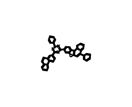 c1ccc(-c2nc(-c3ccc4c(ccc5ccccc54)c3)nc(-c3ccc4c(c3)oc3cc(-c5ccccc5)c5ccccc5c34)n2)cc1